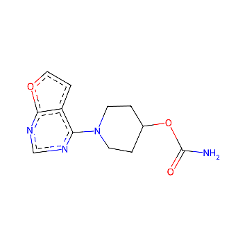 NC(=O)OC1CCN(c2ncnc3occc23)CC1